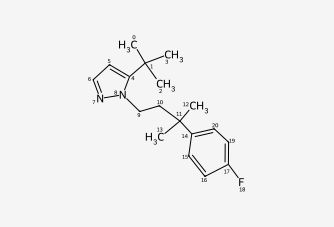 CC(C)(C)c1ccnn1CCC(C)(C)c1ccc(F)cc1